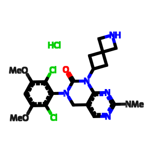 CNc1ncc2c(n1)N(C1CC3(CNC3)C1)C(=O)N(c1c(Cl)c(OC)cc(OC)c1Cl)C2.Cl